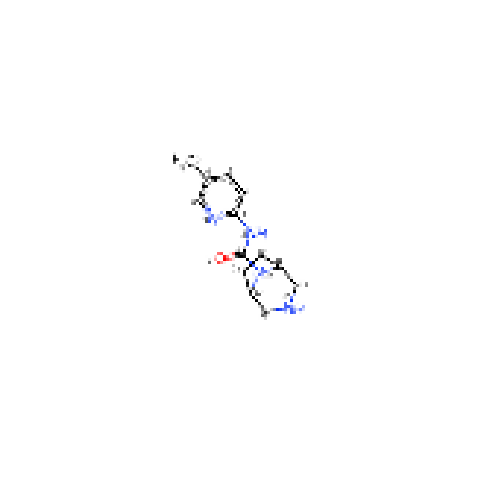 O=C(Nc1ccc(C(F)(F)F)cn1)N1C2CCC1CNC2